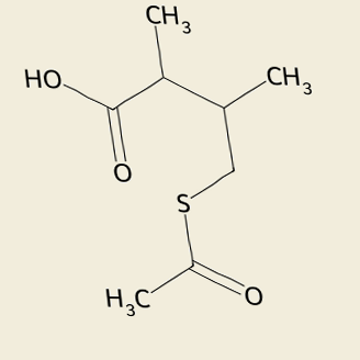 CC(=O)SCC(C)C(C)C(=O)O